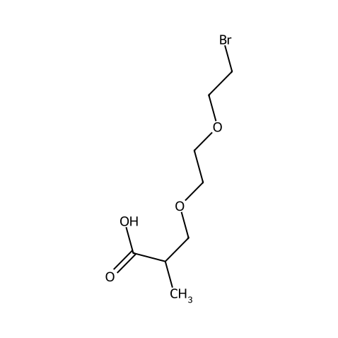 CC(COCCOCCBr)C(=O)O